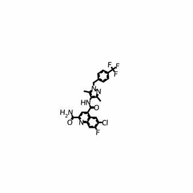 Cc1nn(Cc2ccc(C(F)(F)F)cc2)c(C)c1NC(=O)c1cc(C(N)=O)nc2cc(F)c(Cl)cc12